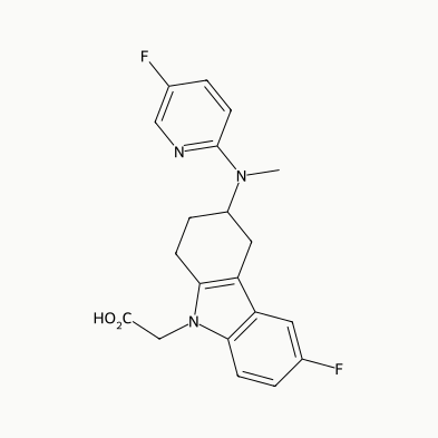 CN(c1ccc(F)cn1)C1CCc2c(c3cc(F)ccc3n2CC(=O)O)C1